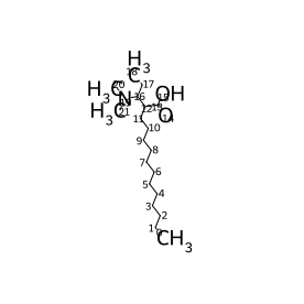 CCCCCCCCCCCCC(C(=O)O)C(CC)N(C)C